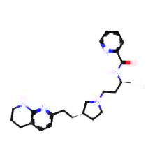 O=C(N[C@H](CCN1CC[C@@H](CCc2ccc3c(n2)NCCC3)C1)C(=O)O)c1ccccn1